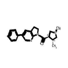 C[C@H]1CN(C#N)C[C@@H]1C(=O)N1CCc2cc(-c3ccccc3)cnc21